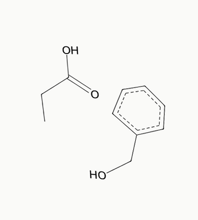 CCC(=O)O.OCc1ccccc1